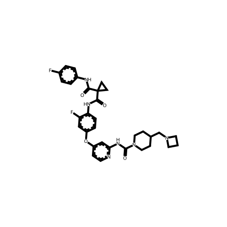 O=C(Nc1cc(Oc2ccc(NC(=O)C3(C(=O)Nc4ccc(F)cc4)CC3)c(F)c2)ccn1)N1CCC(CN2CCC2)CC1